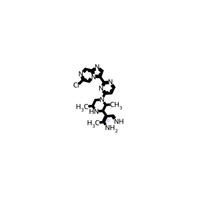 C/C(N)=C(/C=N)C1NC(C)CN(c2ccnc(-c3cnc4cnc(Cl)cn34)n2)C1C